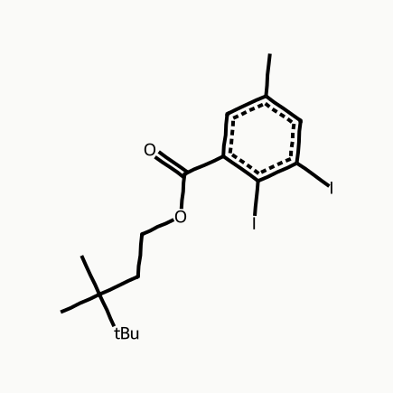 Cc1cc(I)c(I)c(C(=O)OCCC(C)(C)C(C)(C)C)c1